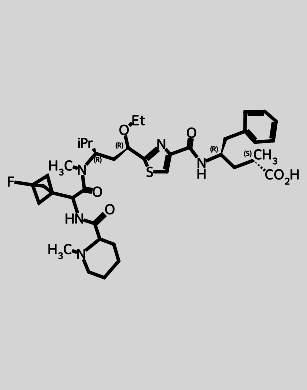 CCO[C@H](C[C@H](C(C)C)N(C)C(=O)C(NC(=O)C1CCCCN1C)C12CC(F)(C1)C2)c1nc(C(=O)N[C@@H](Cc2ccccc2)C[C@H](C)C(=O)O)cs1